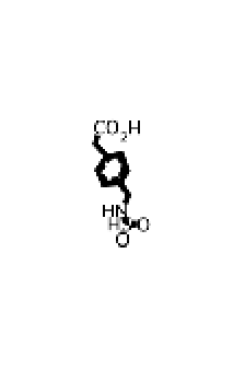 O=C(O)Cc1ccc(CN[SH](=O)=O)cc1